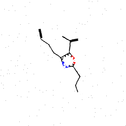 C=CCCc1nc(CCC(=O)O)oc1C(=C)C